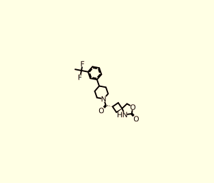 CC(F)(F)c1cccc(C2CCN(C(=O)[C@H]3C[C@]4(COC(=O)N4)C3)CC2)c1